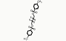 Cc1ccc(S(=O)(=O)OCC(F)(F)C(F)(F)COS(=O)(=O)c2ccc(C)cc2)cc1